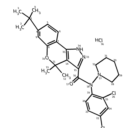 CC(C)(C)c1ccc2c(c1)OC(C)(C)c1c(C(=O)N(c3ccc(Cl)cc3Cl)N3CCCCC3)n[nH]c1-2.Cl